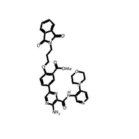 COC(=O)c1cc(-c2cnc(N)c(C(=O)Nc3cnccc3N3CCOCC3)n2)ccc1OCCCN1C(=O)c2ccccc2C1=O